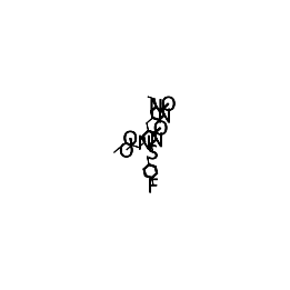 CCOC(=O)Cn1cc(Cc2cnc(=O)n(CC)c2)c(=O)nc1SCc1ccc(F)cc1